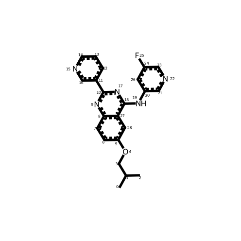 CC(C)COc1ccc2nc(-c3cccnc3)nc(Nc3cncc(F)c3)c2c1